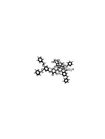 CC1(C)S[C@@H]2[C@H](NC=O)C(=O)N2[C@@]1(NC(=O)C(NC(=O)N1CCN(Cc2ccc(OCc3ccccc3)c(OCc3ccccc3)c2)C(=O)C1=O)c1ccc(Cc2ccccc2)cc1NC(=O)O)C(=O)OCc1ccccc1